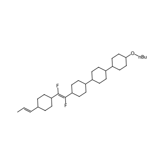 C/C=C/C1CCC(/C(F)=C(\F)C2CCC(C3CCC(C4CCC(OCCCC)CC4)CC3)CC2)CC1